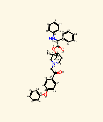 O=C(C[N+]12CCC(CC1)[C@@H](OC(=O)C(Nc1ccccc1)c1ccccc1)C2)c1ccc(Oc2ccccc2)cc1